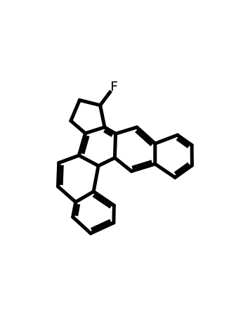 FC1CCC2=C3C=Cc4ccccc4C3C3C=c4ccccc4=CC3=C21